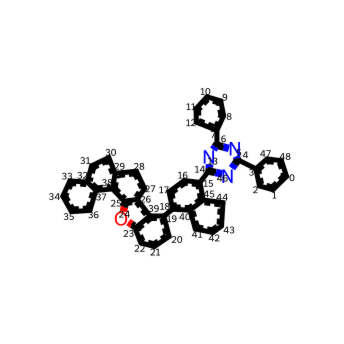 c1ccc(-c2nc(-c3ccccc3)nc(-c3ccc(-c4cccc5oc6c(ccc7ccc8ccccc8c76)c45)c4ccccc34)n2)cc1